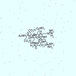 CSCCC(NC(=O)C(CCC(=O)O)NC(=O)C(CCC(=O)O)NC(C)=O)C(=O)NC(CCC(N)=O)C(=O)NC(CCCN=C(N)N)C(=O)NC(CCCN=C(N)N)C(=O)NC(C)C(=O)NC(CC(=O)O)C(N)=O